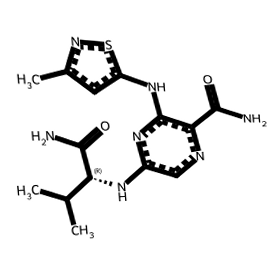 Cc1cc(Nc2nc(N[C@@H](C(N)=O)C(C)C)cnc2C(N)=O)sn1